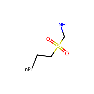 CCCCCS(=O)(=O)C[NH]